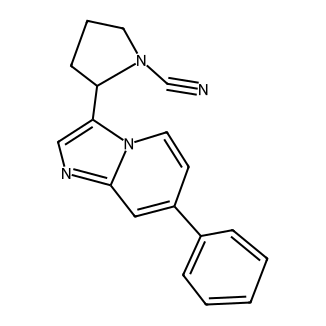 N#CN1CCCC1c1cnc2cc(-c3ccccc3)ccn12